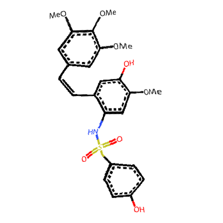 COc1cc(NS(=O)(=O)c2ccc(O)cc2)c(/C=C\c2cc(OC)c(OC)c(OC)c2)cc1O